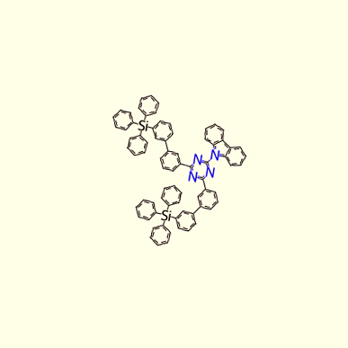 c1ccc([Si](c2ccccc2)(c2ccccc2)c2cccc(-c3cccc(-c4nc(-c5cccc(-c6cccc([Si](c7ccccc7)(c7ccccc7)c7ccccc7)c6)c5)nc(-n5c6ccccc6c6ccccc65)n4)c3)c2)cc1